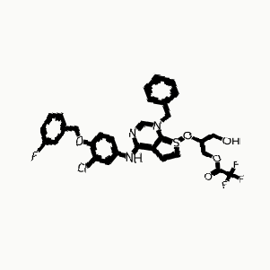 O=C(OCC(CO)OS1=C2C(=C(Nc3ccc(OCc4cccc(F)c4)c(Cl)c3)N=CN2Cc2ccccc2)C=C1)C(F)(F)F